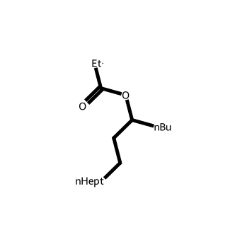 C[CH]C(=O)OC(CCCC)CCCCCCCCC